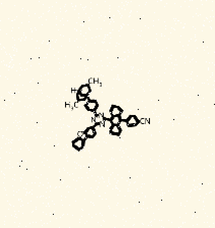 C[C@@H]1C[C@@H]2C[C@H](C)CC(c3ccc(-c4nc(-c5ccc6c(c5)oc5ccccc56)nc(-c5c6ccccc6c(-c6ccc(C#N)cc6)c6ccccc56)n4)cc3)(C1)C2